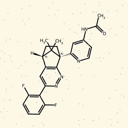 CC(=O)Nc1ccnc([C@]23CC[C@@H](c4cc(-c5c(F)cccc5F)nnc42)C3(C)C)c1